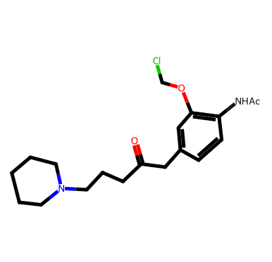 CC(=O)Nc1ccc(CC(=O)CCCN2CCCCC2)cc1OCCl